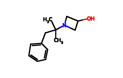 CC(C)(Cc1ccccc1)N1CC(O)C1